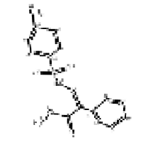 COC(=O)C(=CNS(=O)(=O)c1ccc(C)cc1)c1ccccc1